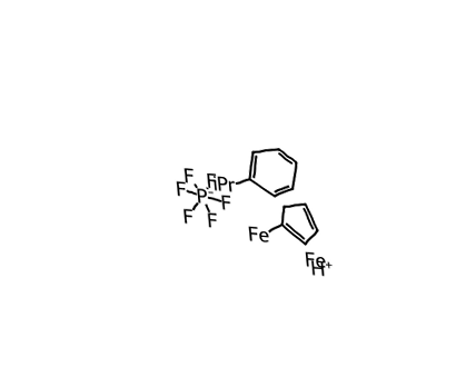 CC(C)c1ccccc1.F[P-](F)(F)(F)(F)F.[Fe].[Fe][C]1=CC=CC1.[H+]